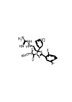 CO[C@@H](C)C(=O)N1N=C(c2cc(F)ccc2F)SC1(CCNNC(=N)N)c1ccccc1.Cl